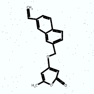 C=Cc1ccc2ccc(COc3cc(C)oc(=O)c3)cc2c1